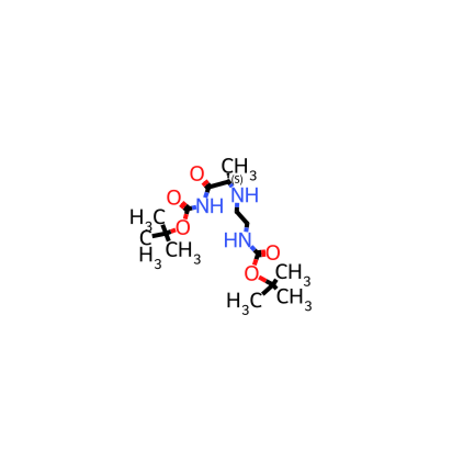 C[C@H](NCCNC(=O)OC(C)(C)C)C(=O)NC(=O)OC(C)(C)C